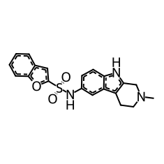 CN1CCc2c([nH]c3ccc(NS(=O)(=O)c4cc5ccccc5o4)cc23)C1